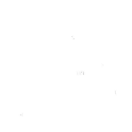 CC(C)(C)c1ccc(/C(=C/CCN2CCCC2)c2ccc(Cl)c(=O)[nH]2)cc1